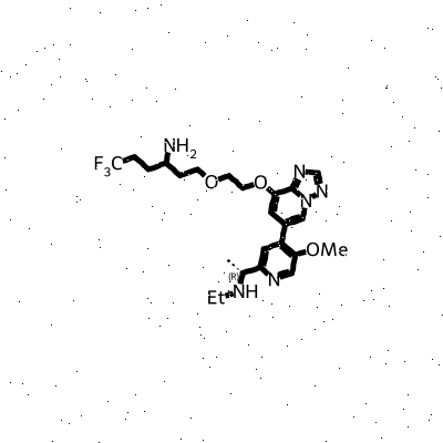 CCN[C@H](C)c1cc(-c2cc(OCCOCCC(N)CCC(F)(F)F)c3ncnn3c2)c(OC)cn1